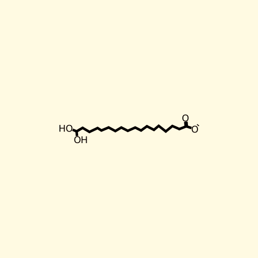 COC(=O)CCCCCCCCCCCCCCCCC(O)O